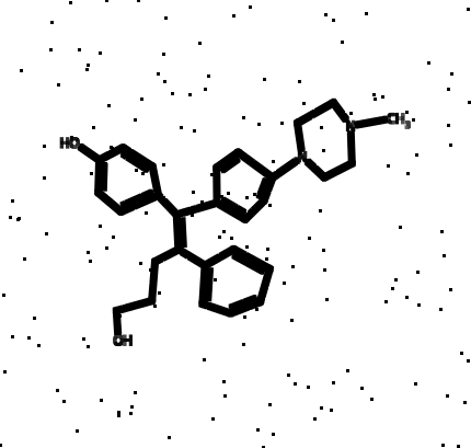 CN1CCN(c2ccc(/C(=C(/CCCO)c3ccccc3)c3ccc(O)cc3)cc2)CC1